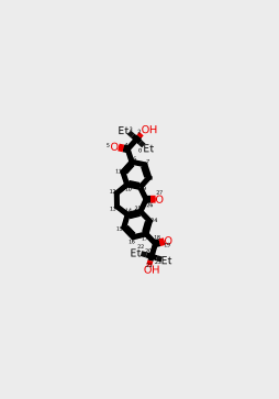 CCC(O)(CC)C(=O)c1ccc2c(c1)CCc1ccc(C(=O)C(O)(CC)CC)cc1C2=O